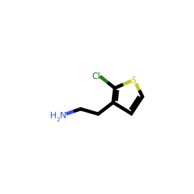 NCCc1ccsc1Cl